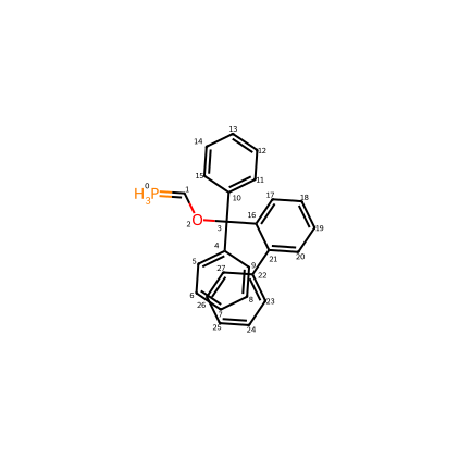 [PH3]=COC(c1ccccc1)(c1ccccc1)c1ccccc1-c1ccccc1